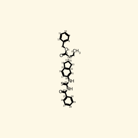 CCN(C(=O)OCc1ccccc1)[C@H]1Cc2ccc(NC(=S)NC(=O)c3ccccc3)cc2C1